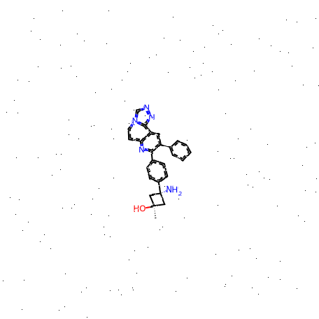 C[C@]1(O)C[C@@](N)(c2ccc(-c3nc4ccn5[c]nnc5c4cc3-c3ccccc3)cc2)C1